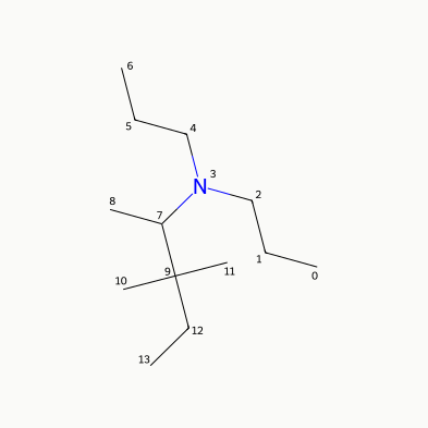 CCCN(CCC)C(C)C(C)(C)CC